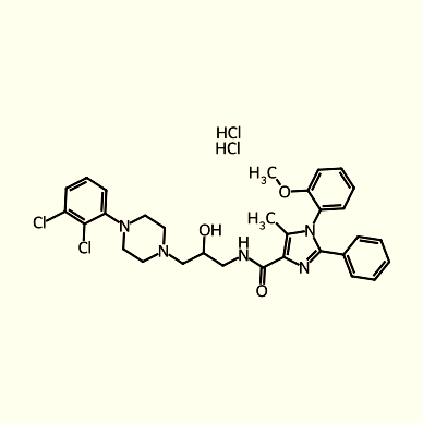 COc1ccccc1-n1c(-c2ccccc2)nc(C(=O)NCC(O)CN2CCN(c3cccc(Cl)c3Cl)CC2)c1C.Cl.Cl